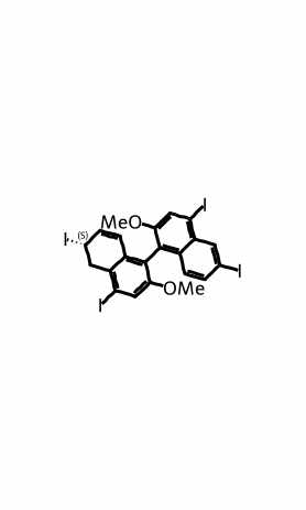 COc1cc(I)c2c(c1-c1c(OC)cc(I)c3cc(I)ccc13)C=C[C@@H](I)C2